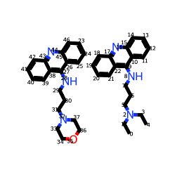 CCN(CC)CCCNc1c2ccccc2nc2ccccc12.c1ccc2c(NCCCN3CCOCC3)c3ccccc3nc2c1